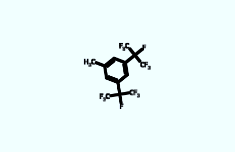 Cc1cc(C(F)(C(F)(F)F)C(F)(F)F)cc(C(F)(C(F)(F)F)C(F)(F)F)c1